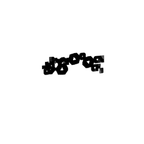 CC1(C)OC[C@H](c2cccc3c2c(Br)cn3-c2ccc(Oc3ccc(C(F)(F)F)c(C#N)c3)cc2)O1